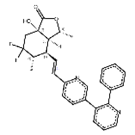 C[C@H]1OC(=O)[C@]2(O)CC(F)(F)[C@@H](C)[C@H](/C=C/c3ccc(-c4cccnc4-c4ccccc4)cn3)[C@H]12